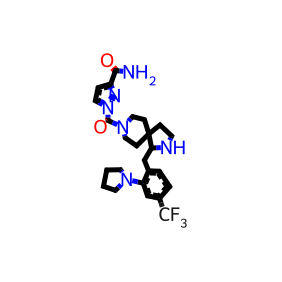 NC(=O)c1ccn(C(=O)N2CCC3(CCNC3Cc3ccc(C(F)(F)F)cc3N3CCCC3)CC2)n1